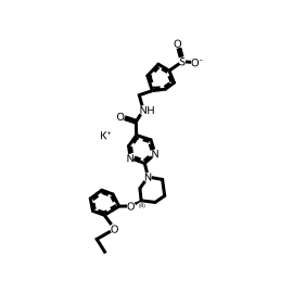 CCOc1ccccc1O[C@@H]1CCCN(c2ncc(C(=O)NCc3ccc(S(=O)[O-])cc3)cn2)C1.[K+]